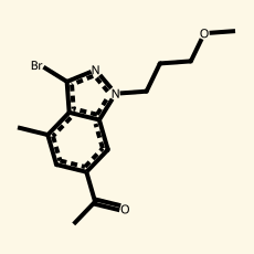 COCCCn1nc(Br)c2c(C)cc(C(C)=O)cc21